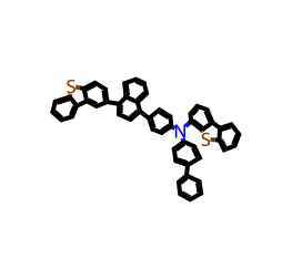 c1ccc(-c2ccc(N(c3ccc(-c4ccc(-c5ccc6sc7ccccc7c6c5)c5ccccc45)cc3)c3cccc4c3sc3ccccc34)cc2)cc1